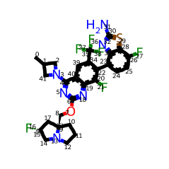 CC1CN(c2nc(OC[C@@]34CCCN3C[C@H](F)C4)nc3c(F)c(-c4ccc(F)c5sc(N)nc45)c(C(F)(F)F)cc23)C1